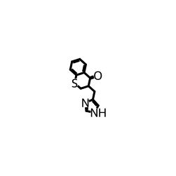 O=C1c2ccccc2SCC1Cc1c[nH]cn1